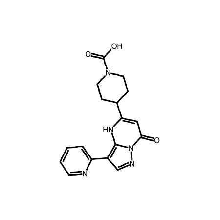 O=C(O)N1CCC(c2cc(=O)n3ncc(-c4ccccn4)c3[nH]2)CC1